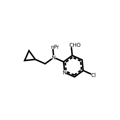 CCCN(CC1CC1)c1ncc(Cl)cc1C=O